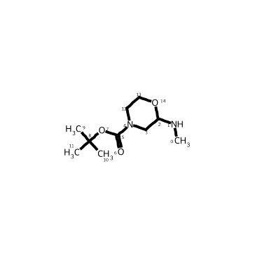 CNC1CN(C(=O)OC(C)(C)C)CCO1